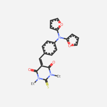 CCN1C(=O)C(=Cc2ccc(N(c3ccco3)c3ccco3)cc2)C(=O)N(CC)C1=S